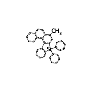 Cc1cc2c(c3c1ccc1ccccc13)-c1ccccc1[Si]2(c1ccccc1)c1ccccc1